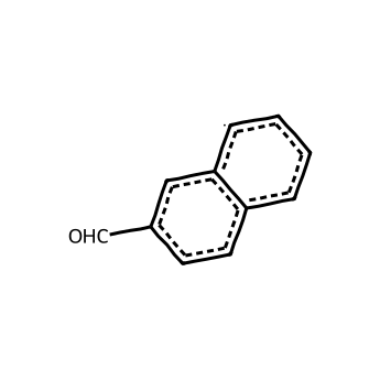 O=Cc1ccc2ccc[c]c2c1